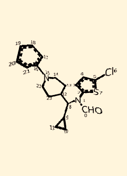 O=CN(c1ccc(Cl)s1)[C@@H](C1CC1)C1CCN(c2ccccc2)CC1